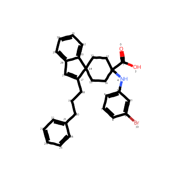 O=C(O)C1(Nc2cccc(Br)c2)CCC2(CC1)C(CCCc1ccccc1)=Cc1ccccc12